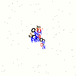 COc1cc2c(cc1Nc1nc(Nc3ccccc3[S+]([O-])C(C)C)c3sccc3n1)N(C(=O)CN(C)C)CC2